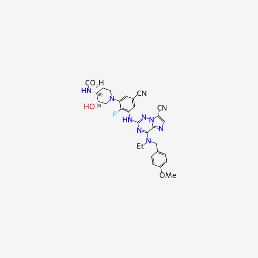 CCN(Cc1ccc(OC)cc1)c1nc(Nc2cc(C#N)cc(N3CC[C@@H](NC(=O)O)[C@@H](O)C3)c2F)nn2c(C#N)cnc12